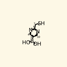 OB(O)c1cnc(CS)nc1